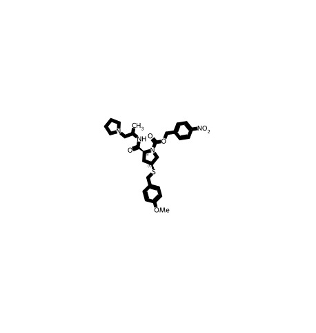 COc1ccc(CS[C@H]2C[C@@H](C(=O)NC(C)CN3CCCC3)N(C(=O)OCc3ccc([N+](=O)[O-])cc3)C2)cc1